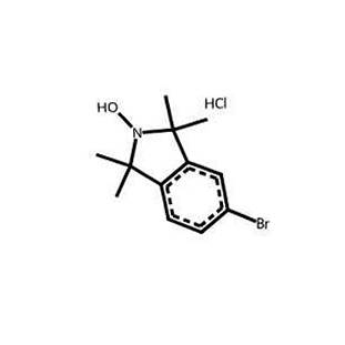 CC1(C)c2ccc(Br)cc2C(C)(C)N1O.Cl